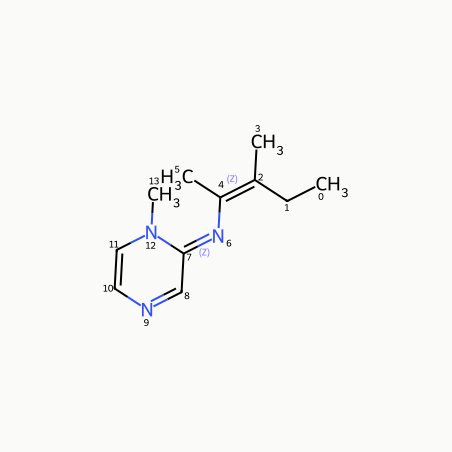 CC/C(C)=C(C)\N=c1\cnccn1C